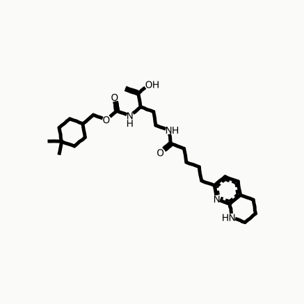 C=C(O)C(CCNC(=O)CCCCc1ccc2c(n1)NCCC2)NC(=O)OCC1CCC(C)(C)CC1